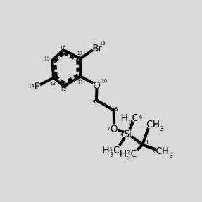 CC(C)(C)[Si](C)(C)OCCOc1cc(F)ccc1Br